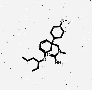 CCCC(CC)OC1=CC=CC(CN(C)C(N)=O)(C2CCC(N)CC2)C1